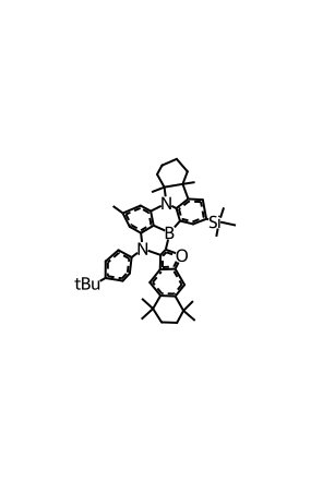 Cc1cc2c3c(c1)N1c4c(cc([Si](C)(C)C)cc4C4(C)CCCCC14C)B3c1oc3cc4c(cc3c1N2c1ccc(C(C)(C)C)cc1)C(C)(C)CCC4(C)C